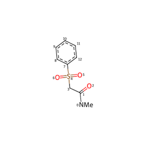 CNC(=O)CS(=O)(=O)c1ccccc1